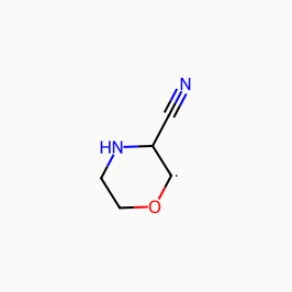 N#CC1[CH]OCCN1